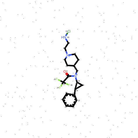 O=C(N(CC1CCN(CCNCl)CC1)C1CC1c1ccccc1)C(F)(F)F